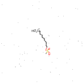 CS(=O)(=O)OCCCCCCCCCC(=O)O